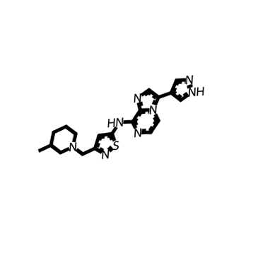 CC1CCCN(Cc2cc(Nc3nccn4c(-c5cn[nH]c5)cnc34)sn2)C1